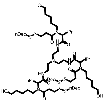 CCCCCCCCCCSSCCC(=O)N(CCCCCO)C(C(=O)NCCN(CCNC(=O)C(C(C)C)N(CCCCCO)C(=O)CCSSCCCCCCCCCC)CCNC(=O)C(C(C)C)N(CCCCCO)C(=O)CCSSCCCCCCCCCC)C(C)C